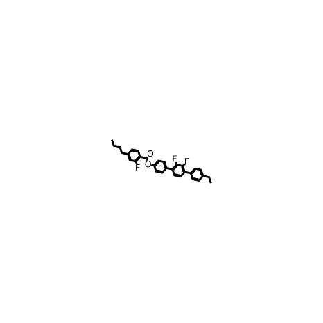 CCCCc1ccc(C(=O)Oc2ccc(-c3ccc(-c4ccc(CC)cc4)c(F)c3F)cc2)c(F)c1